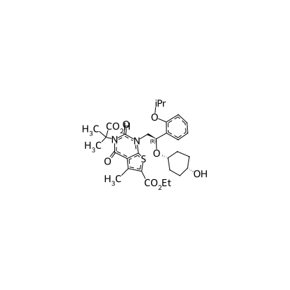 CCOC(=O)c1sc2c(c1C)c(=O)n(C(C)(C)C(=O)O)c(=O)n2C[C@H](O[C@H]1CC[C@@H](O)CC1)c1ccccc1OC(C)C